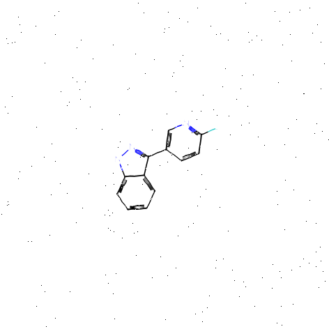 Fc1ccc(-c2n[nH]c3ccccc23)cn1